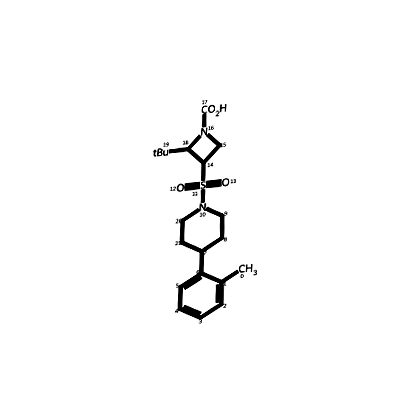 Cc1ccccc1C1CCN(S(=O)(=O)C2CN(C(=O)O)C2C(C)(C)C)CC1